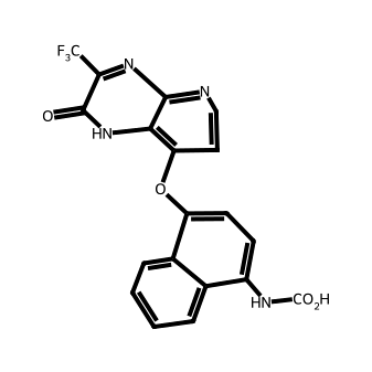 O=C(O)Nc1ccc(Oc2ccnc3nc(C(F)(F)F)c(=O)[nH]c23)c2ccccc12